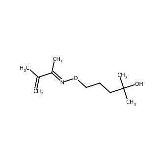 C=C(C)/C(C)=N/OCCCC(C)(C)O